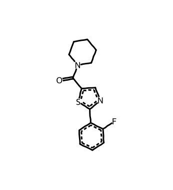 O=C(c1cnc(-c2ccccc2F)s1)N1CCCCC1